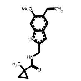 C=Cc1cc2cc(CNC(=O)C3(C)CC3)[nH]c2cc1OC